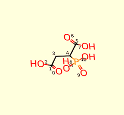 O=C(O)CC(C(=O)O)P(=O)(O)O